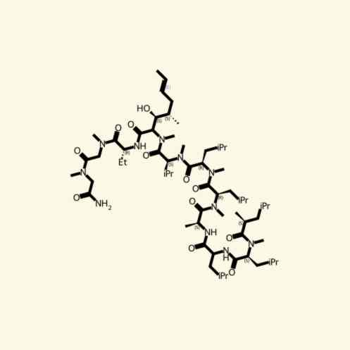 C/C=C/C[C@H](C)[C@H](O)C(C(=O)N[C@H](CC)C(=O)N(C)CC(=O)N(C)CC(N)=O)N(C)C(=O)[C@H](C(C)C)N(C)C(=O)[C@@H](CC(C)C)N(C)C(=O)[C@@H](CC(C)C)N(C)C(=O)[C@H](C)NC(=O)C(CC(C)C)NC(=O)[C@H](CC(C)C)N(C)C(=O)[C@@H](C)CC(C)C